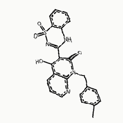 Cc1ccc(Cn2c(=O)c(C3=NS(=O)(=O)c4ccccc4N3)c(O)c3cccnc32)cc1